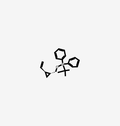 C=C[C@@H]1C[C@H]1CO[Si](c1ccccc1)(c1ccccc1)C(C)(C)C